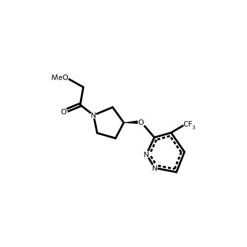 COCC(=O)N1CC[C@H](Oc2nnccc2C(F)(F)F)C1